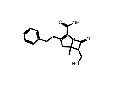 CC12CC(SCc3ccccc3)=C(C(=O)O)N1C(=O)C2CO